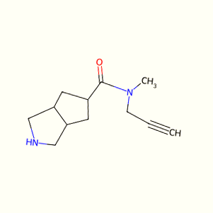 C#CCN(C)C(=O)C1CC2CNCC2C1